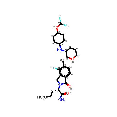 NC(=O)[C@H](CCC(=O)O)N1Cc2c(ccc(C[C@H]3OCCC[C@@H]3NC3CCC(OC(F)F)CC3)c2F)C1=O